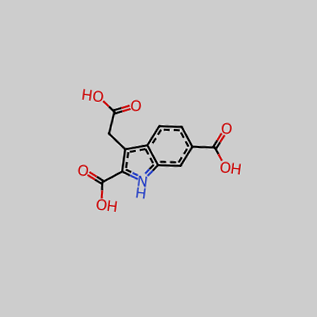 O=C(O)Cc1c(C(=O)O)[nH]c2cc(C(=O)O)ccc12